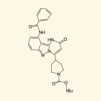 CC(C)(C)OC(=O)N1CCC(c2cc(=O)[nH]c3c4c(NC(=O)c5ccccc5)cccc4nn23)CC1